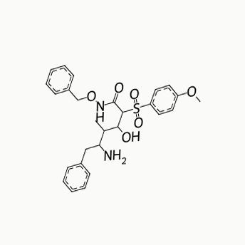 COc1ccc(S(=O)(=O)C(C(=O)NOCc2ccccc2)C(O)C(C)C(N)Cc2ccccc2)cc1